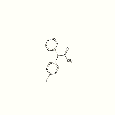 [CH2]C(=O)N(c1ccccc1)c1ccc(F)cc1